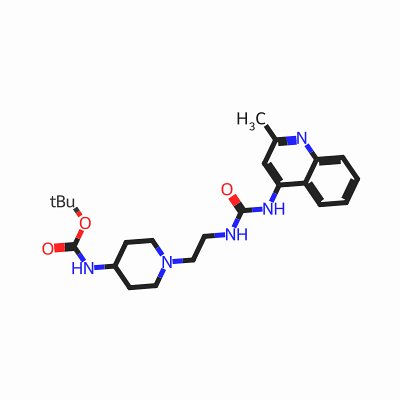 Cc1cc(NC(=O)NCCN2CCC(NC(=O)OC(C)(C)C)CC2)c2ccccc2n1